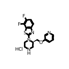 Cl.Fc1ccc2nc(N3CCNC[C@@H]3COc3cccnc3)sc2c1F